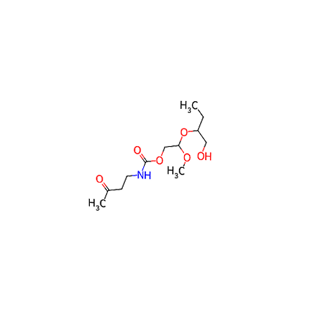 CCC(CO)OC(COC(=O)NCCC(C)=O)OC